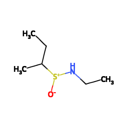 CCN[S+]([O-])C(C)CC